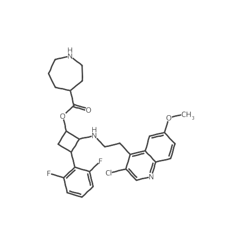 COc1ccc2ncc(Cl)c(CCNC3C(OC(=O)C4CCCNCC4)CC3c3c(F)cccc3F)c2c1